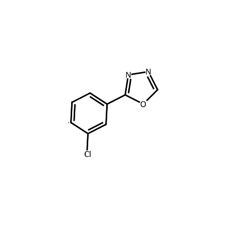 Clc1[c]ccc(-c2nnco2)c1